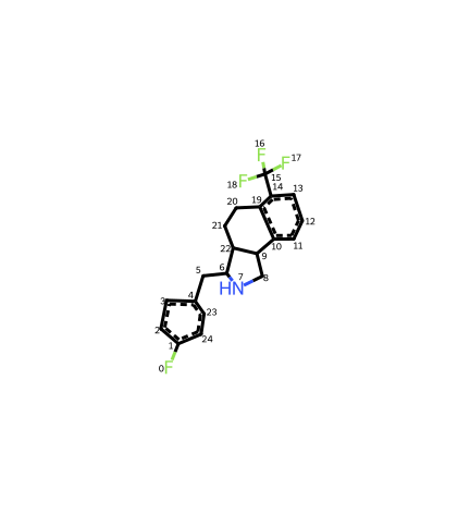 Fc1ccc(CC2NCC3c4cccc(C(F)(F)F)c4CCC23)cc1